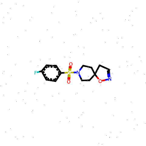 O=S(=O)(c1ccc(F)cc1)N1CCC2(C[C]=NO2)CC1